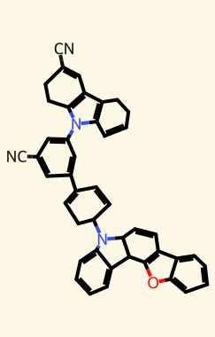 N#CC1=Cc2c3c(n(-c4cc(C#N)cc(C5=CCC(N6c7ccccc7C7c8oc9ccccc9c8C=CC76)C=C5)c4)c2CC1)C=CCC3